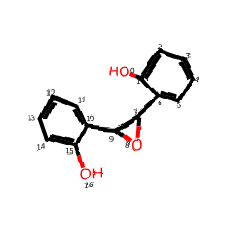 Oc1ccccc1C1OC1c1ccccc1O